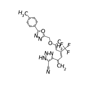 C=C(/C=C(\C=C(/C)OCc1nnc(-c2ccc(C)cc2)o1)C(F)(F)F)c1nn[nH]c1C#N